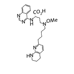 CON(CCCCc1ccc2c(n1)NCCC2)CC[C@H](Nc1ncnc2ccccc12)C(=O)O